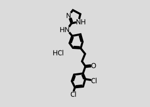 Cl.O=C(CCc1ccc(NC2=NCCN2)cc1)c1ccc(Cl)cc1Cl